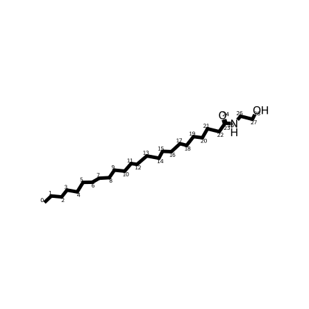 CCCCCCCCCCCCCCCCCCCCCCCC(=O)NCCO